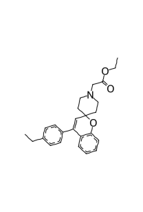 CCOC(=O)CN1CCC2(C=C(c3ccc(CC)cc3)c3ccccc3O2)CC1